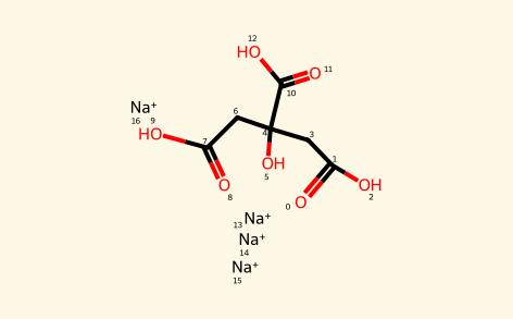 O=C(O)CC(O)(CC(=O)O)C(=O)O.[Na+].[Na+].[Na+].[Na+]